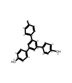 Cc1ccc(-c2cc(-c3ccc(O)cc3)cc(-c3ccc(O)cc3)c2)cc1